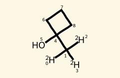 [2H]C([2H])([2H])C1(O)CCC1